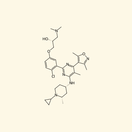 Cc1noc(C)c1-c1nc(-c2cc(OC[C@H](O)CN(C)C)ccc2Cl)nc(N[C@H]2CCN(C3CC3)[C@@H](C)C2)c1C